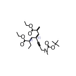 C=C(/C=C(C#CCN(C)C(=O)OC(C)(C)C)\C=C(/CC)C(=O)OCC)C(=O)OCC